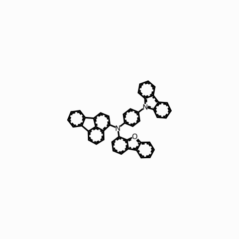 c1ccc2c(c1)-c1cccc3c(N(c4ccc(-n5c6ccccc6c6ccccc65)cc4)c4cccc5c4oc4ccccc45)ccc-2c13